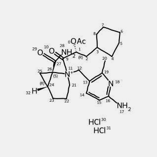 CC(=O)O[C@H](CC1CCCCC1)C(=O)[N+]1(Cc2ccc(N)nc2C)CCC[C@@H]2C[C@@]21C(N)=O.Cl.Cl